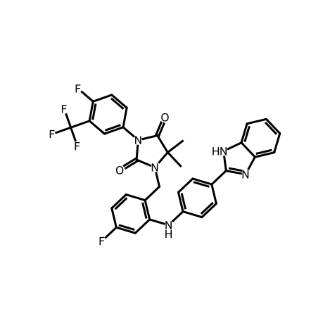 CC1(C)C(=O)N(c2ccc(F)c(C(F)(F)F)c2)C(=O)N1Cc1ccc(F)cc1Nc1ccc(-c2nc3ccccc3[nH]2)cc1